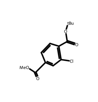 COC(=O)c1ccc(C(=O)OC(C)(C)C)c(Cl)c1